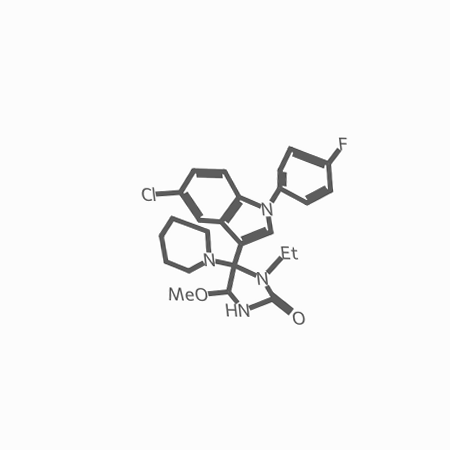 CCN1C(=O)NC(OC)C1(c1cn(-c2ccc(F)cc2)c2ccc(Cl)cc12)N1CCCCC1